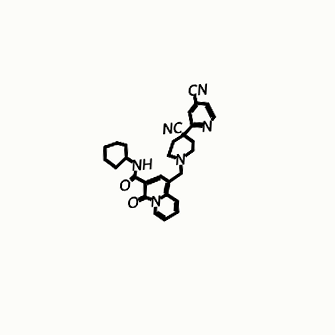 N#Cc1ccnc(C2(C#N)CCN(Cc3cc(C(=O)NC4CCCCC4)c(=O)n4ccccc34)CC2)c1